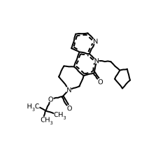 CC(C)(C)OC(=O)N1CCc2c(c(=O)n(CC3CCCC3)c3ncccc23)C1